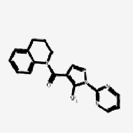 O=C(c1cnn(-c2ncccn2)c1C(F)(F)F)N1CCCc2ccccc21